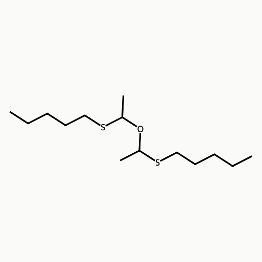 CCCCCSC(C)OC(C)SCCCCC